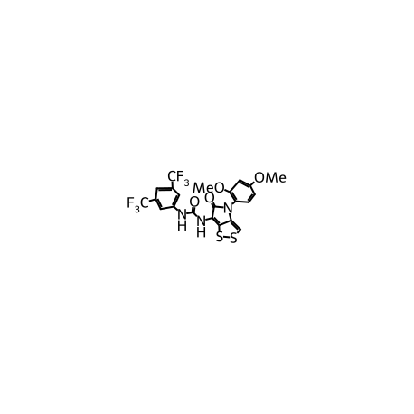 COc1ccc(-n2c3cssc-3c(NC(=O)Nc3cc(C(F)(F)F)cc(C(F)(F)F)c3)c2=O)c(OC)c1